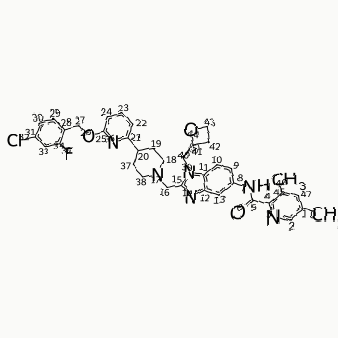 Cc1cnc(C(=O)Nc2ccc3c(c2)nc(CN2CCC(c4cccc(OCc5ccc(Cl)cc5F)n4)CC2)n3C[C@@H]2CCO2)c(C)c1